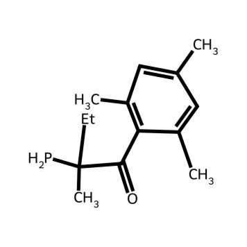 CCC(C)(P)C(=O)c1c(C)cc(C)cc1C